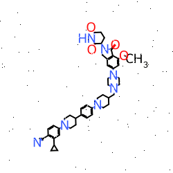 COc1cc(N2CCN(CC3CCN(c4ccc(C5CCN(c6ccc(C#N)c(C7CC7)c6)CC5)cc4)CC3)CC2)cc2c1C(=O)N(C1CCC(=O)NC1=O)C2